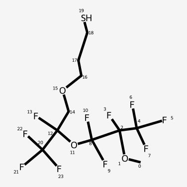 COC(F)(C(F)(F)F)C(F)(F)OC(F)(COCCCS)C(F)(F)F